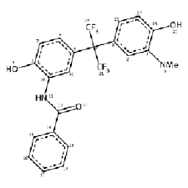 CNc1cc(C(c2ccc(O)c(NC(=O)c3ccccc3)c2)(C(F)(F)F)C(F)(F)F)ccc1O